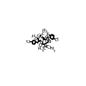 CC(C)N1CC2N(C(=O)C(N(C)C)CN2S(=O)(=O)c2cc(Cl)ccc2F)C(Cc2ccc(Cl)cc2)C1=O